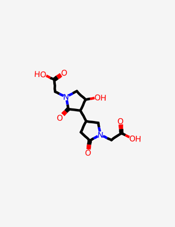 O=C(O)CN1CC(C2C(=O)N(CC(=O)O)CC2O)CC1=O